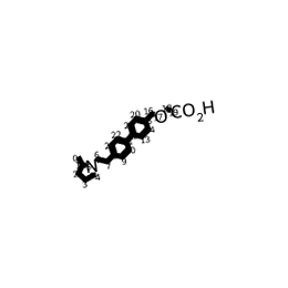 CC1CCCN1CCc1ccc(-c2ccc(COCC(=O)O)cc2)cc1